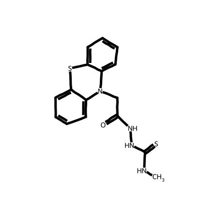 CNC(=S)NNC(=O)CN1c2ccccc2Sc2ccccc21